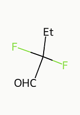 [CH2]CC(F)(F)C=O